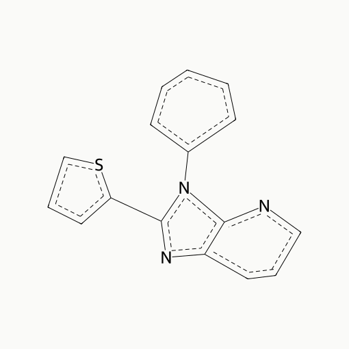 c1ccc(-n2c(-c3cccs3)nc3cccnc32)cc1